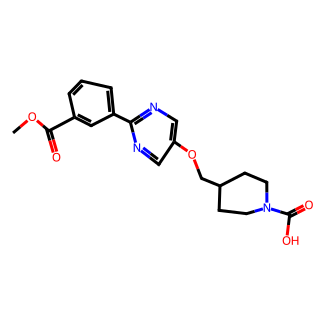 COC(=O)c1cccc(-c2ncc(OCC3CCN(C(=O)O)CC3)cn2)c1